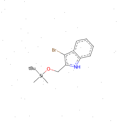 CC(C)(C)[Si](C)(C)OCc1[nH]c2ccccc2c1Br